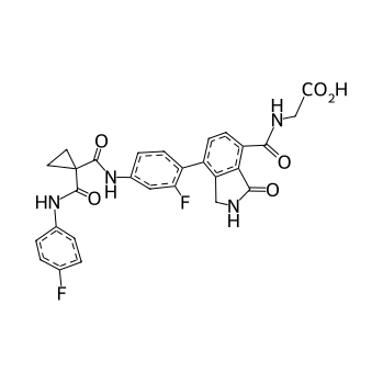 O=C(O)CNC(=O)c1ccc(-c2ccc(NC(=O)C3(C(=O)Nc4ccc(F)cc4)CC3)cc2F)c2c1C(=O)NC2